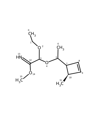 CCOC(OC(C)C1C=C[C@H]1C)C(=N)OC